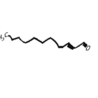 CCCCCCCC/C=C/C=O